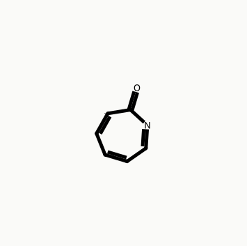 O=c1[c]ccccn1